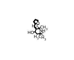 CC1(C)CC(O)C(=Cc2ccco2)C(C)(C)N1